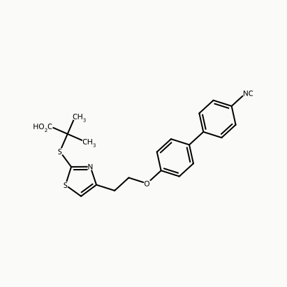 [C-]#[N+]c1ccc(-c2ccc(OCCc3csc(SC(C)(C)C(=O)O)n3)cc2)cc1